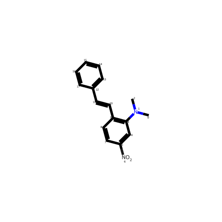 CN(C)c1cc([N+](=O)[O-])ccc1C=Cc1ccccc1